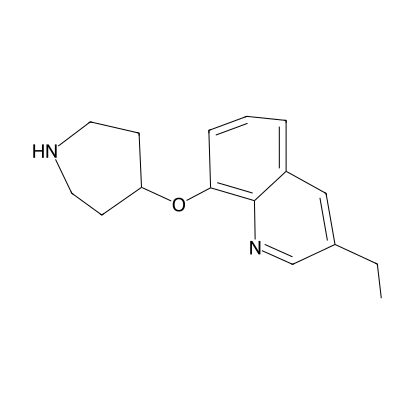 CCc1cnc2c(OC3CCNCC3)cccc2c1